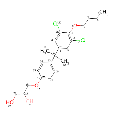 CCCCOc1c(Cl)cc(C(C)(C)c2ccc(OCC(O)CO)cc2)cc1Cl